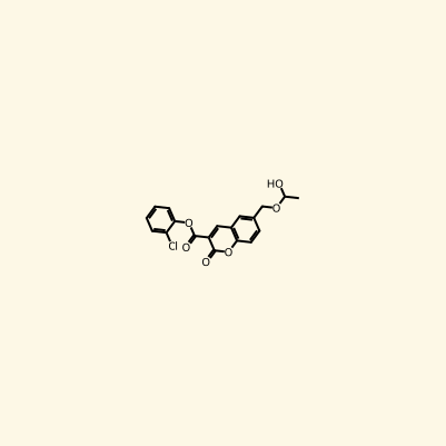 CC(O)OCc1ccc2oc(=O)c(C(=O)Oc3ccccc3Cl)cc2c1